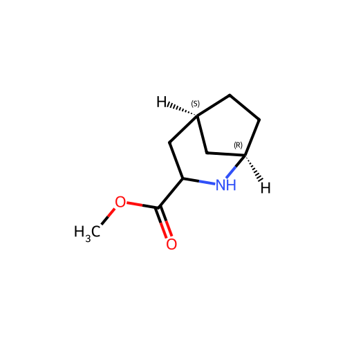 COC(=O)C1C[C@H]2CC[C@H](C2)N1